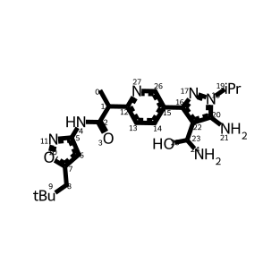 CC(C(=O)Nc1cc(CC(C)(C)C)on1)c1ccc(-c2nn(C(C)C)c(N)c2C(N)O)cn1